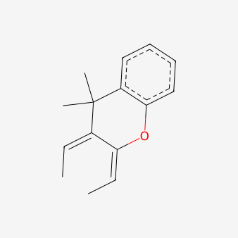 C/C=C1\C(=C/C)Oc2ccccc2C1(C)C